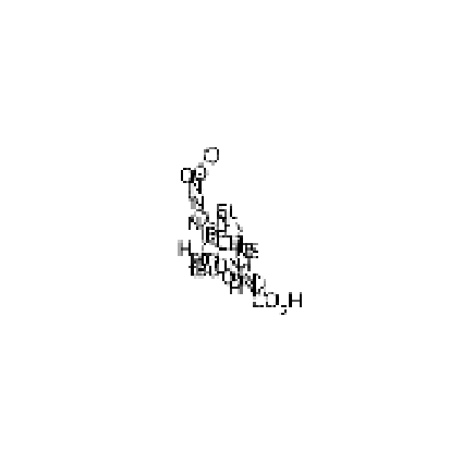 CCn1c(-c2cc(N3CCN(C(=O)OCc4ccccc4)CC3)cnc2C(C)C)c(CC(C)(C)CO)c2cc(-c3csc(C[C@H](NC(=O)OC(C)(C)C)C(=O)N4CCC[C@@H](C(=O)O)N4)n3)ccc21